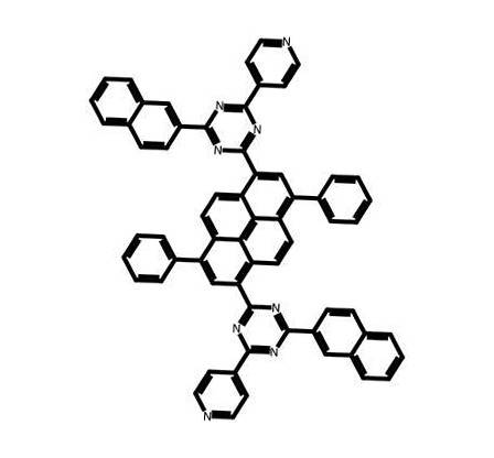 c1ccc(-c2cc(-c3nc(-c4ccncc4)nc(-c4ccc5ccccc5c4)n3)c3ccc4c(-c5ccccc5)cc(-c5nc(-c6ccncc6)nc(-c6ccc7ccccc7c6)n5)c5ccc2c3c45)cc1